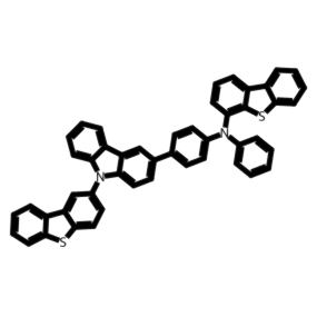 c1ccc(N(c2ccc(-c3ccc4c(c3)c3ccccc3n4-c3ccc4sc5ccccc5c4c3)cc2)c2cccc3c2sc2ccccc23)cc1